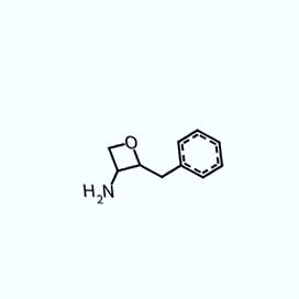 NC1COC1Cc1ccccc1